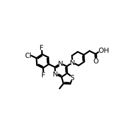 Cc1csc2c(N3CC=C(CC(=O)O)CC3)nc(-c3cc(F)c(Cl)cc3F)nc12